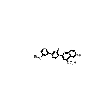 CCOc1cccc(-c2ccc(-c3cc(C(=O)O)c4cc(F)ccc4n3)c(F)c2)c1